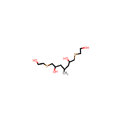 CC(CC(O)CSCCO)CC(O)CSCCO